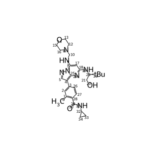 Cc1cc(-c2cnn3c(NCN4CCOCC4)cc(N[C@H](CO)C(C)(C)C)nc23)ccc1C(=O)NC1CC1